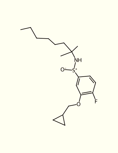 CCCCCCC(C)(C)N[S+]([O-])c1ccc(F)c(OCC2CC2)c1